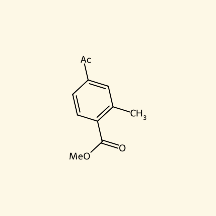 COC(=O)c1ccc(C(C)=O)cc1C